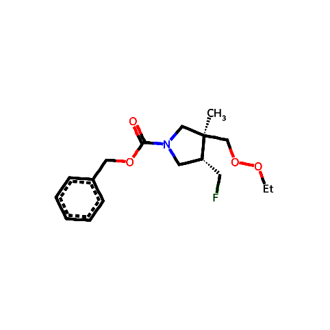 CCOOC[C@]1(C)CN(C(=O)OCc2ccccc2)C[C@H]1CF